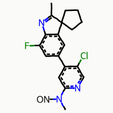 CC1=Nc2c(F)cc(-c3cc(N(C)N=O)ncc3Cl)cc2C12CCCC2